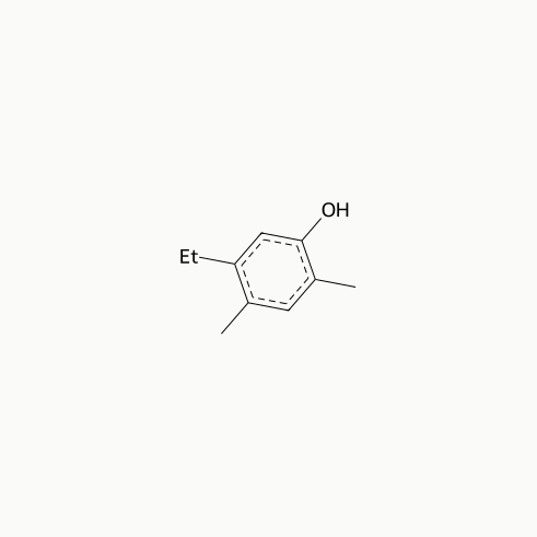 CCc1cc(O)c(C)cc1C